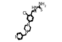 NC(=S)NN=Cc1ccc(N2CCN(Cc3ccncc3)CC2)cc1Cl